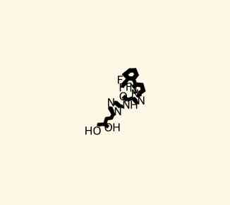 O=C(Nc1cncc(CCC(O)CO)n1)c1cnc2ccc(-c3ccccc3C(F)(F)F)nn12